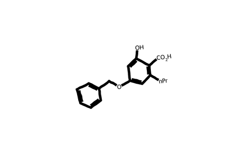 CCCc1cc(OCc2ccccc2)cc(O)c1C(=O)O